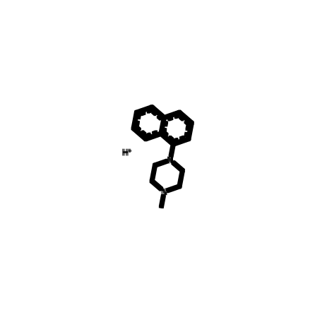 CN1CCN(c2cccc3ccccc23)CC1.[H+]